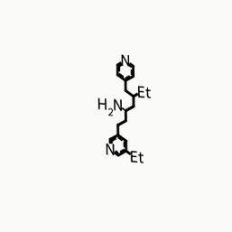 CCc1cncc(CC[C@@H](N)CC(CC)Cc2ccncc2)c1